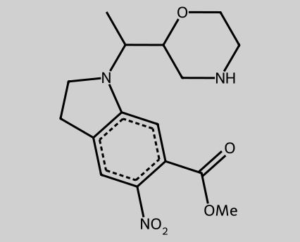 COC(=O)c1cc2c(cc1[N+](=O)[O-])CCN2C(C)C1CNCCO1